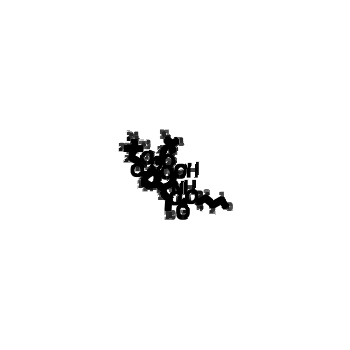 CCCCCOC(=O)OC(C)CC(c1ccc(OC(=O)CC(C)(C)C)c(OC(=O)CC(C)(C)C)c1)[C@H](N)C(=O)O